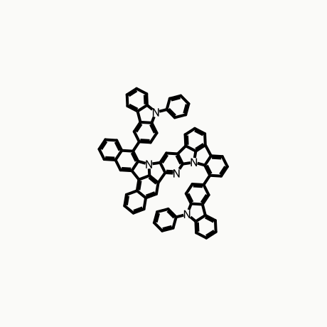 c1ccc(-n2c3ccccc3c3cc(-c4c5ccccc5cc5c6c7ccccc7cc7c8nc9c(cc8n(c45)c76)c4cccc5c6cccc(-c7ccc8c(c7)c7ccccc7n8-c7ccccc7)c6n9c45)ccc32)cc1